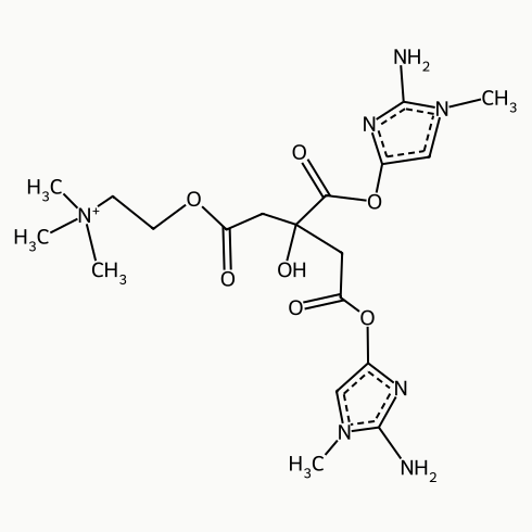 Cn1cc(OC(=O)CC(O)(CC(=O)OCC[N+](C)(C)C)C(=O)Oc2cn(C)c(N)n2)nc1N